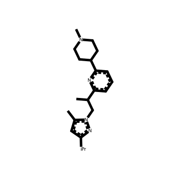 Cc1cc(C(C)C)nn1CC(C)c1cccc(C2CCN(C)CC2)n1